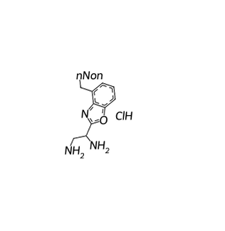 CCCCCCCCCCc1cccc2oc(C(N)CN)nc12.Cl